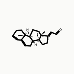 C[C@]12CCC=CC1=CC[C@@H]1[C@@H]2CC[C@]2(C)C(=CC=O)CC[C@@H]12